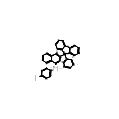 Fc1ccc(Nc2cc(C3(c4ccccc4)c4ccccc4-c4ccccc43)cc3ccccc23)cc1